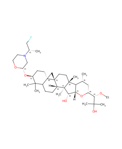 CCO[C@@H]([C@H]1C[C@@H](C)C2[C@H](O1)[C@H](O)[C@@]1(C)[C@@H]3CCC4C(C)(C)[C@@H](O[C@H]5CN([C@@H](C)CF)CCO5)CC[C@@]45C[C@@]35CC[C@]21C)C(C)(C)O